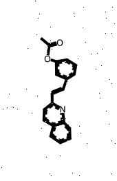 CC(=O)Oc1cccc(C=Cc2ccc3ccccc3n2)c1